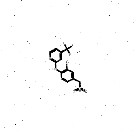 O=[SH](=O)Cc1ccc(Nc2cc(C(F)(F)F)ccn2)c(Br)c1